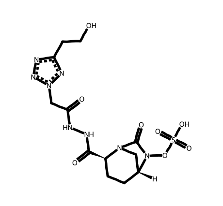 O=C(Cn1nnc(CCO)n1)NNC(=O)[C@@H]1CC[C@@H]2CN1C(=O)N2OS(=O)(=O)O